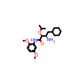 COc1ccc(OC)c(NC(=O)C(OC(C)C)[C@H](N)CC2CCCCC2)c1